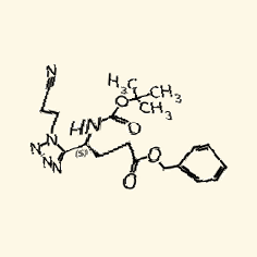 CC(C)(C)OC(=O)N[C@@H](CCC(=O)OCc1ccccc1)c1nnnn1CCC#N